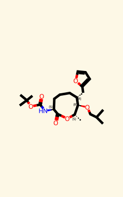 CC(C)CO[C@@H]1[C@@H](Cc2ccco2)CCC[C@H](NC(=O)OC(C)(C)C)C(=O)O[C@H]1C